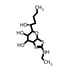 CCCC[C@H](O)C1OC2SC(NCC)=NC2C(O)C1O